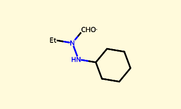 CCN([C]=O)NC1CCCCC1